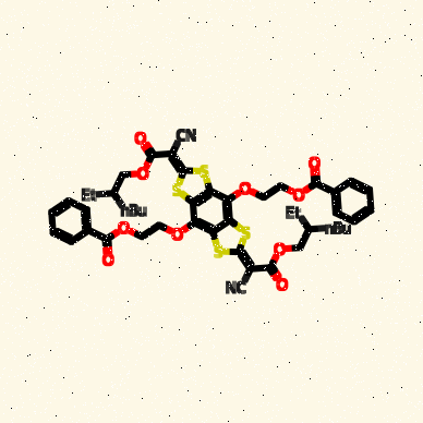 CCCCC(CC)COC(=O)C(C#N)=C1Sc2c(OCCOC(=O)c3ccccc3)c3c(c(OCCOC(=O)c4ccccc4)c2S1)SC(=C(C#N)C(=O)OCC(CC)CCCC)S3